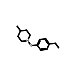 CCc1ccc(SN2CCC(C)CC2)cc1